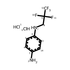 Cl.Cl.Nc1ccc(NCC(F)(F)C(F)(F)F)cc1